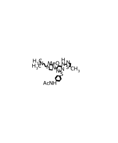 COc1c(Nc2ncc(C)s2)nc(Sc2ccc(NC(C)=O)cc2)nc1N1CCN(CCN(C)C)CC1